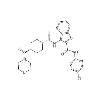 CN1CCN(C(=O)[C@H]2CC[C@H](C(=O)Nc3c(C(=O)Nc4ccc(Cl)cn4)oc4cccnc34)CC2)CC1